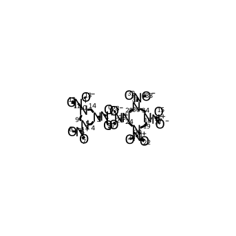 O=[N+]([O-])N1CN([N+](=O)[O-])CN([N+](=O)[O-])C1.O=[N+]([O-])N1CN([N+](=O)[O-])CN([N+](=O)[O-])CN([N+](=O)[O-])C1